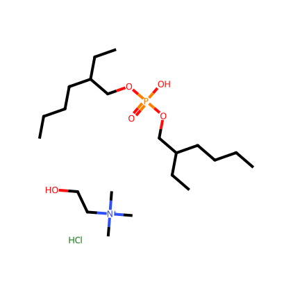 CCCCC(CC)COP(=O)(O)OCC(CC)CCCC.C[N+](C)(C)CCO.Cl